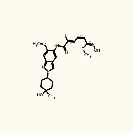 COC(/C=C\C=C(/I)C(=O)Nc1cc2cn(C3CCC(C)(O)CC3)nc2cc1OC)=N\O